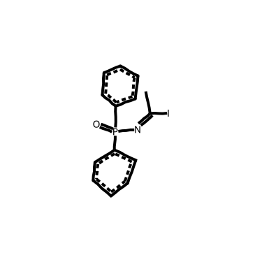 C/C(I)=N\P(=O)(c1ccccc1)c1ccccc1